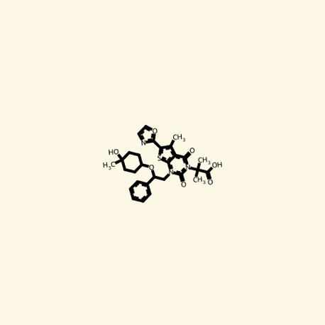 Cc1c(-c2ncco2)sc2c1c(=O)n(C(C)(C)C(=O)O)c(=O)n2CC(OC1CCC(C)(O)CC1)c1ccccc1